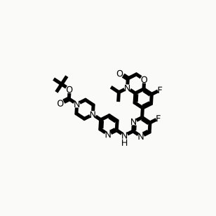 CC(C)N1C(=O)COc2c(F)cc(-c3nc(Nc4ccc(N5CCN(C(=O)OC(C)(C)C)CC5)cn4)ncc3F)cc21